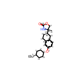 CC(C)(C)[C@H]1CC[C@H](Oc2ccc3c(c2)CC[C@@H]([C@@]2(C)COC(=O)N2)C3)CC1